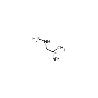 CCC[C@@H](C)CNN